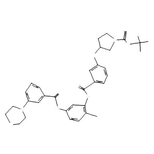 Cc1ccc(NC(=O)c2cccc(N3CCOCC3)c2)cc1NC(=O)c1cccc(OC2CCN(C(=O)OC(C)(C)C)C2)c1